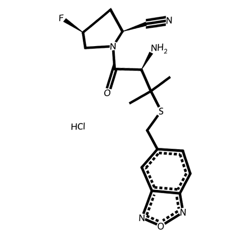 CC(C)(SCc1ccc2nonc2c1)[C@H](N)C(=O)N1C[C@@H](F)C[C@H]1C#N.Cl